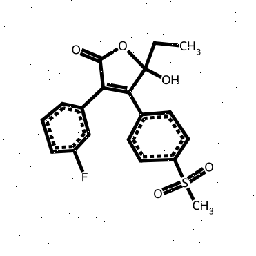 CCC1(O)OC(=O)C(c2cccc(F)c2)=C1c1ccc(S(C)(=O)=O)cc1